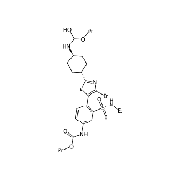 CCNS(=O)(=O)c1cc(NC(=O)OC(C)C)ccc1-c1sc([C@H]2CC[C@H](NC(O)OC(C)C)CC2)nc1Br